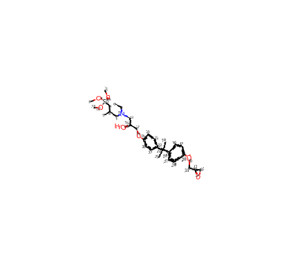 CCN(CC(C)C[Si](OC)(OC)OC)CC(O)COc1ccc(C(C)(C)c2ccc(OCC3CO3)cc2)cc1